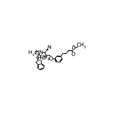 CCOC(=O)CCCc1cccc(OCC(O)C(C#N)NC(C)(C)CC2Cc3ccccc3C2)c1